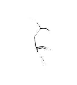 CCOC(=O)CC(C)[C]=O